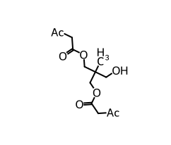 CC(=O)CC(=O)OCC(C)(CO)COC(=O)CC(C)=O